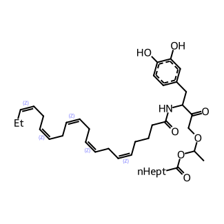 CC/C=C\C/C=C\C/C=C\C/C=C\C/C=C\CCCC(=O)NC(Cc1ccc(O)c(O)c1)C(=O)COC(C)OC(=O)CCCCCCC